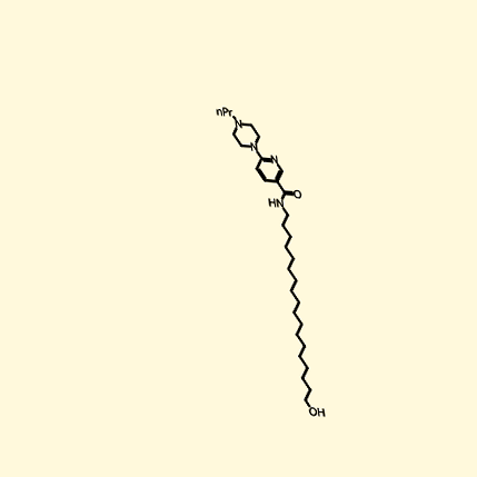 CCCN1CCN(c2ccc(C(=O)NCCCCCCCCCCCCCCCCCCO)cn2)CC1